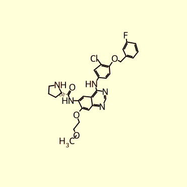 COCCOc1cc2ncnc(Nc3ccc(OCc4cccc(F)c4)c(Cl)c3)c2cc1NC(=O)[C@@H]1CCCN1